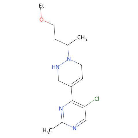 CCOCCC(C)N1CC=C(c2nc(C)ncc2Cl)CN1